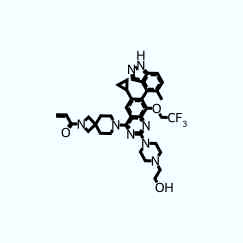 C=CC(=O)N1CC2(CCN(c3nc(N4CCN(CCO)CC4)nc4c(OCC(F)(F)F)c(-c5c(C)ccc6[nH]ncc56)c(C5CC5)cc34)CC2)C1